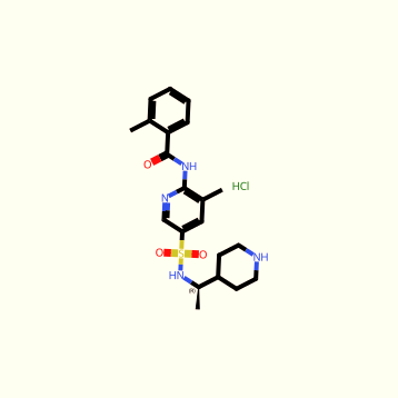 Cc1ccccc1C(=O)Nc1ncc(S(=O)(=O)N[C@H](C)C2CCNCC2)cc1C.Cl